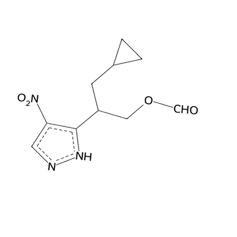 O=COCC(CC1CC1)c1[nH]ncc1[N+](=O)[O-]